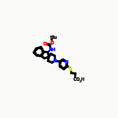 CC(C)(C)OC(=O)N[C@@H]1c2ccccc2CC12CCN(c1ccc(SCCC(=O)O)nc1)CC2